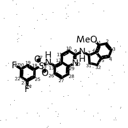 COc1cccc2c1C(Nc1ccc3c(NS(=O)(=O)c4cc(F)cc(F)c4)cccc3n1)CC2